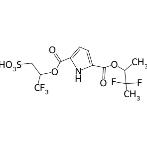 CC(OC(=O)c1ccc(C(=O)OC(CS(=O)(=O)O)C(F)(F)F)[nH]1)C(C)(F)F